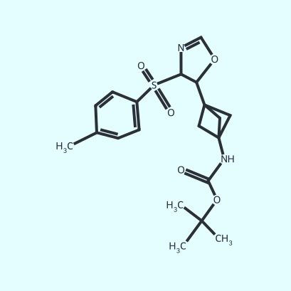 Cc1ccc(S(=O)(=O)C2N=COC2C23CC(NC(=O)OC(C)(C)C)(C2)C3)cc1